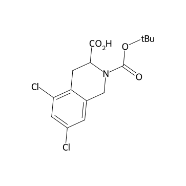 CC(C)(C)OC(=O)N1Cc2cc(Cl)cc(Cl)c2CC1C(=O)O